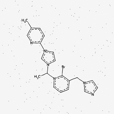 Cc1ccc(-[n+]2ccn(C(C)[n+]3cccc(Cn4ccnc4)c3Br)c2)nc1